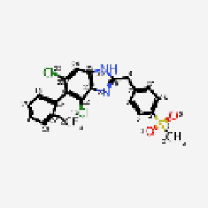 CS(=O)(=O)c1ccc(Cc2nc3c(Cl)c(-c4ccccc4C(F)(F)F)c(Cl)cc3[nH]2)cc1